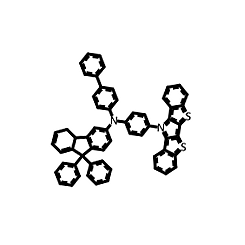 C1=CCC2C(=C1)C(c1ccccc1)(c1ccccc1)c1ccc(N(c3ccc(-c4ccccc4)cc3)c3ccc(-n4c5c6ccccc6sc5c5sc6ccccc6c54)cc3)cc12